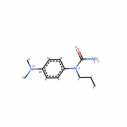 CCCN(C(N)=O)c1ccc(N(C)C)cc1